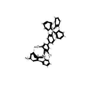 N#Cc1ccc2c(c1)c1ccccc1n2-c1c(C#N)cc(-c2ccc([Si](c3ccccc3)(c3ccccc3)c3ccccc3)cc2)cc1C#N